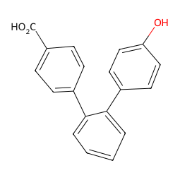 O=C(O)c1ccc(-c2ccccc2-c2ccc(O)cc2)cc1